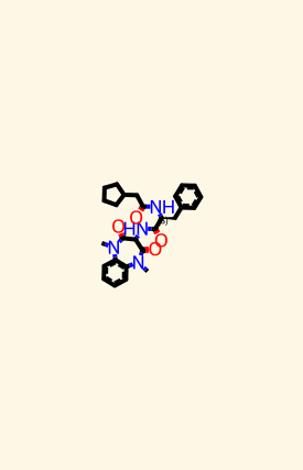 CN1C(=O)C(NC(=O)[C@H](Cc2ccccc2)NC(=O)CC2CCCC2)C(=O)N(C)c2ccccc21